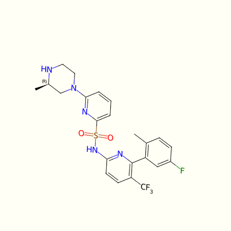 Cc1ccc(F)cc1-c1nc(NS(=O)(=O)c2cccc(N3CCN[C@H](C)C3)n2)ccc1C(F)(F)F